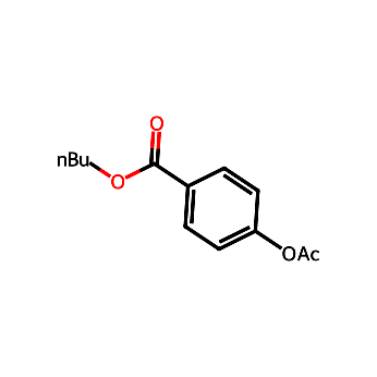 CCCCOC(=O)c1ccc(OC(C)=O)cc1